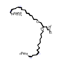 CCCCC/C=C\C/C=C\CCCCCCCCOCC(CCNCC)OCCCCCCCC/C=C\C/C=C\CCCCC